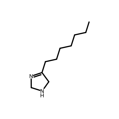 CCCCCCCC1=NCNC1